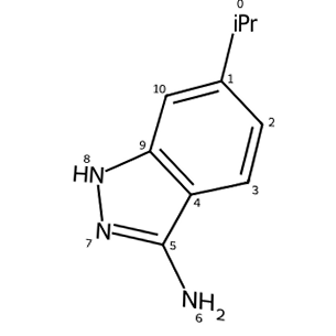 CC(C)c1ccc2c(N)n[nH]c2c1